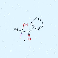 [3H]C(O)(I)C(=O)c1ccccc1